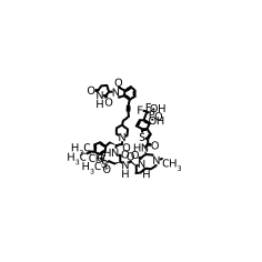 CCN1CC[C@H]2CC[C@@H](C(=O)N[C@@H](CCS(C)(=O)=O)C(=O)N[C@@H](Cc3ccc(C(C)(C)C)cc3)C(=O)N3CCC(CCC#Cc4cccc5c4CN(C4CCC(=O)NC4=O)C5=O)CC3)N2C(=O)[C@@H](NC(=O)c2cc3cc(C(F)(F)P(=O)(O)O)ccc3s2)C1